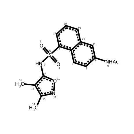 CC(=O)Nc1ccc2c(S(=O)(=O)Nc3onc(C)c3C)cccc2c1